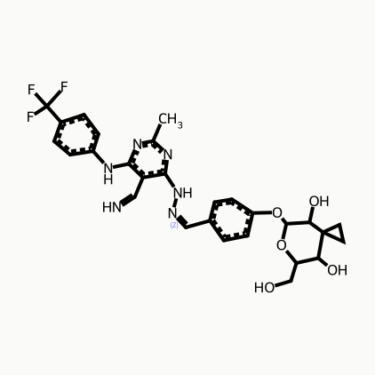 Cc1nc(N/N=C\c2ccc(OC3OC(CO)C(O)C4(CC4)C3O)cc2)c(C=N)c(Nc2ccc(C(F)(F)F)cc2)n1